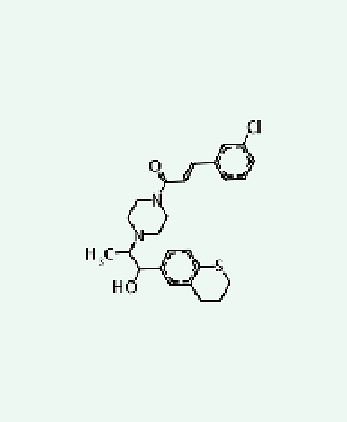 CC(C(O)c1ccc2c(c1)CCCS2)N1CCN(C(=O)C=Cc2cccc(Cl)c2)CC1